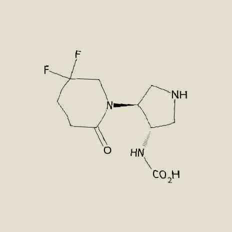 O=C(O)N[C@H]1CNC[C@@H]1N1CC(F)(F)CCC1=O